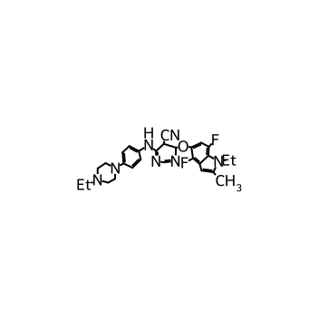 CCN1CCN(c2ccc(NC3=NC=NC(Oc4cc(F)c5c(cc(C)n5CC)c4F)C3C#N)cc2)CC1